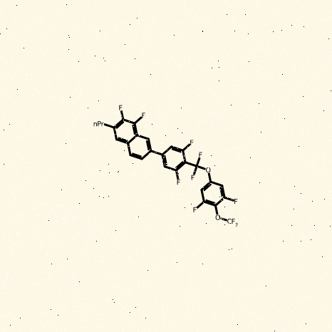 CCCc1cc2ccc(-c3cc(F)c(C(F)(F)Oc4cc(F)c(OC(F)(F)F)c(F)c4)c(F)c3)cc2c(F)c1F